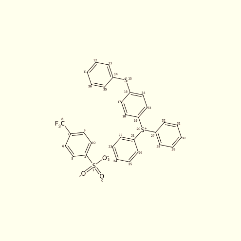 O=S(=O)([O-])c1ccc(C(F)(F)F)cc1.c1ccc(Sc2ccc([S+](c3ccccc3)c3ccccc3)cc2)cc1